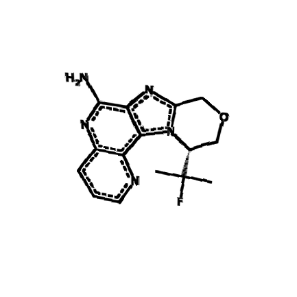 CC(C)(F)[C@H]1COCc2nc3c(N)nc4cccnc4c3n21